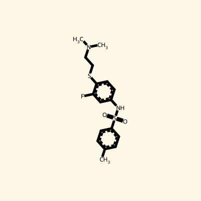 Cc1ccc(S(=O)(=O)Nc2ccc(SCCN(C)C)c(F)c2)cc1